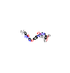 CCOc1ccc(CN2CCN(C(=O)c3cc4cc(Oc5ccc(NC(=O)c6ccc(C(F)(F)F)cc6)cn5)ccc4n3C)CC2)cc1OCC